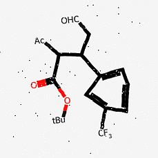 CC(=O)C(C(=O)OC(C)(C)C)C(CC=O)c1cccc(C(F)(F)F)c1